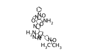 CC(C)C(=O)N1CCC(c2cc(-c3ccc(C4OCCn5c4c(C(N)=O)c(=O)n5-c4ccccc4)nc3)c3c(N)ncnn23)CC1